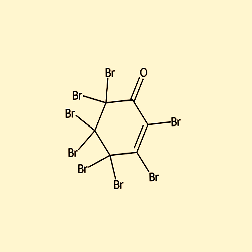 O=C1C(Br)=C(Br)C(Br)(Br)C(Br)(Br)C1(Br)Br